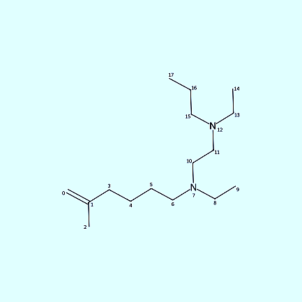 C=C(C)CCCCN(CC)CCN(CC)CCC